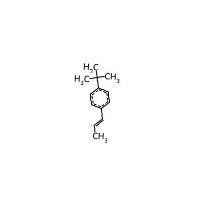 C/[C]=C/c1ccc(C(C)(C)C)cc1